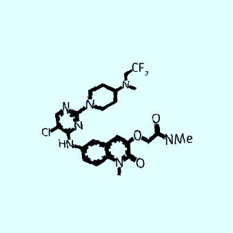 CNC(=O)COc1cc2cc(Nc3nc(N4CCC(N(C)CC(F)(F)F)CC4)ncc3Cl)ccc2n(C)c1=O